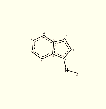 CNc1csc2ccncc12